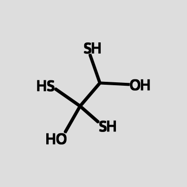 OC(S)C(O)(S)S